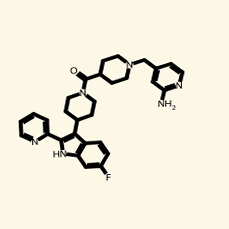 Nc1cc(CN2CCC(C(=O)N3CCC(c4c(-c5ccccn5)[nH]c5cc(F)ccc45)CC3)CC2)ccn1